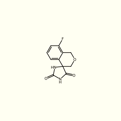 O=C1NC(=O)C2(COCc3c(F)cccc32)N1